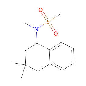 CN(C1CC(C)(C)Cc2ccccc21)S(C)(=O)=O